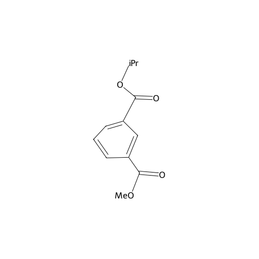 COC(=O)c1cccc(C(=O)OC(C)C)c1